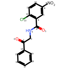 O=C(CNC(=O)c1cc([N+](=O)[O-])ccc1Cl)c1ccccc1